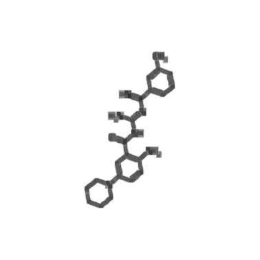 Cc1cccc(C(=N)/N=C(\N)NC(=O)c2cc(N3CCCCC3)ccc2N)c1